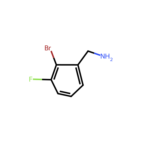 NCc1cccc(F)c1Br